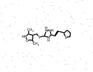 CC1NOC(C)C1CSC1NNC(/C=C/C2CCCS2)N1